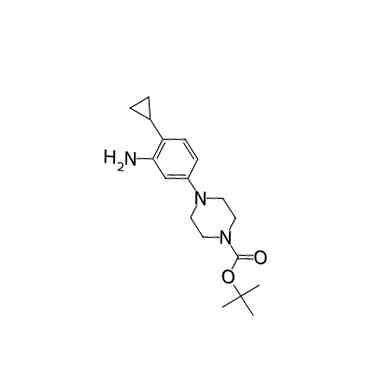 CC(C)(C)OC(=O)N1CCN(c2ccc(C3CC3)c(N)c2)CC1